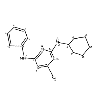 Clc1nc(Nc2ccccc2)nc(NC2CCCCC2)n1